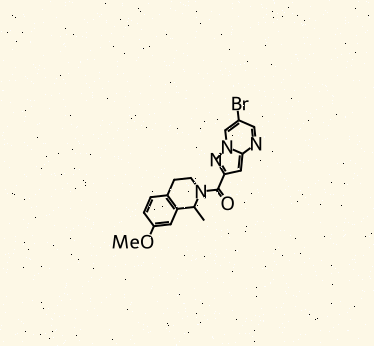 COc1ccc2c(c1)C(C)N(C(=O)c1cc3ncc(Br)cn3n1)CC2